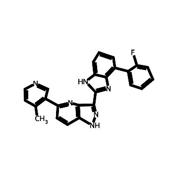 Cc1ccncc1-c1ccc2[nH]nc(-c3nc4c(-c5ccccc5F)cccc4[nH]3)c2n1